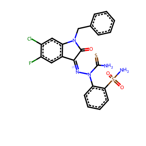 NC(=S)N(/N=C1\C(=O)N(Cc2ccccc2)c2cc(Cl)c(F)cc21)c1ccccc1S(N)(=O)=O